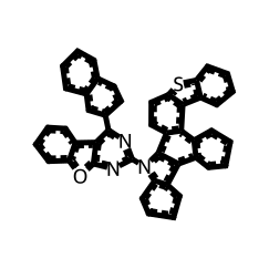 c1ccc2cc(-c3nc(-n4c5ccccc5c5c6ccccc6c6c(ccc7sc8ccccc8c76)c54)nc4oc5ccccc5c34)ccc2c1